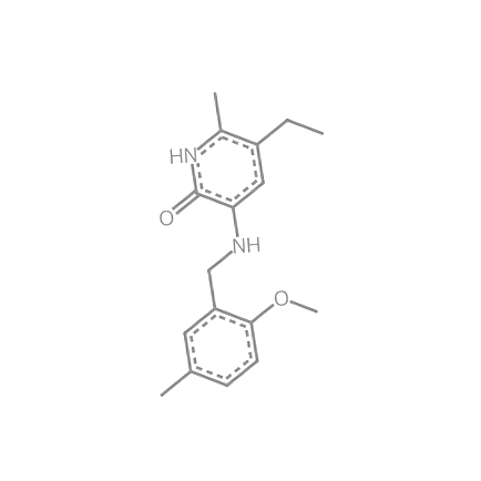 CCc1cc(NCc2cc(C)ccc2OC)c(=O)[nH]c1C